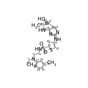 CCN(CCNS(=O)(=O)C1CC(Nc2ncc(Br)c(N[C@H](C)CO)n2)=CS1)c1cccc(C)c1